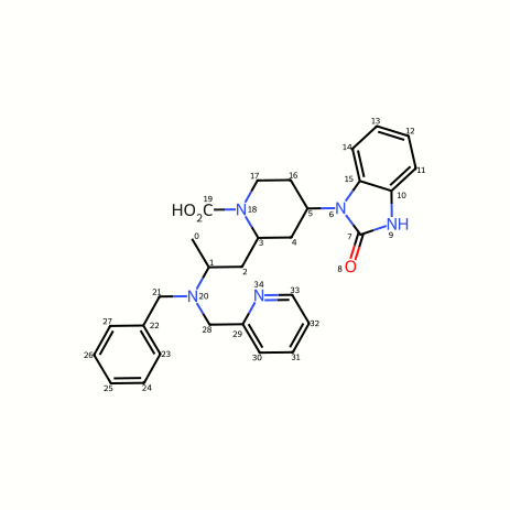 CC(CC1CC(n2c(=O)[nH]c3ccccc32)CCN1C(=O)O)N(Cc1ccccc1)Cc1ccccn1